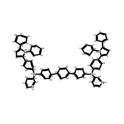 c1ccc(-c2ccc(-c3ccc(N(c4ccc(-c5ccc(-c6ccc(N(c7ccc(-c8ccc(-c9ccccc9)n8-c8ccccc8)cc7)c7cccnc7)cc6)cc5)cc4)c4cccnc4)cc3)n2-c2ccccc2)cc1